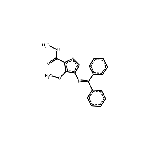 CNC(=O)c1scc(N=C(c2ccccc2)c2ccccc2)c1OC